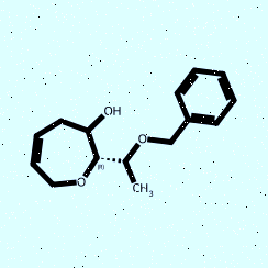 CC(OCc1ccccc1)[C@@H]1OCC=CCC1O